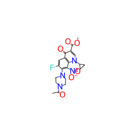 COC(=O)c1cn(C2CC2)c2c([N+](=O)[O-])c(N3CCN(C(C)=O)CC3)c(F)cc2c1=O